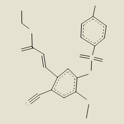 CCOC(=O)C=Cc1cc(OS(=O)(=O)c2ccc(C)cc2)c(OC)cc1C#N